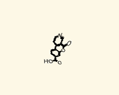 O=C(O)c1ccc2c(c1)oc(=O)c1cnccc12